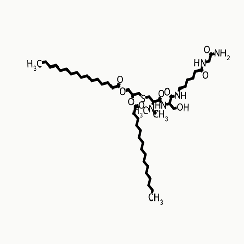 CCCCCCCCCCCCCCCC(=O)OCC(CSCC(C(=O)NC(CO)C(=O)NCCCCCC(=O)NCC(N)=O)N(C)C)OC(=O)CCCCCCCCCCCCCCC